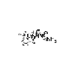 CC(C)c1cccc(C(C)C)c1OC(=O)CC(C)(C)CNC(=O)CN